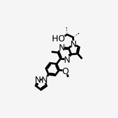 COc1cc(-n2cccn2)ccc1-c1nc2c(C)cn([C@@H](C)[C@@H](C)O)c2nc1C